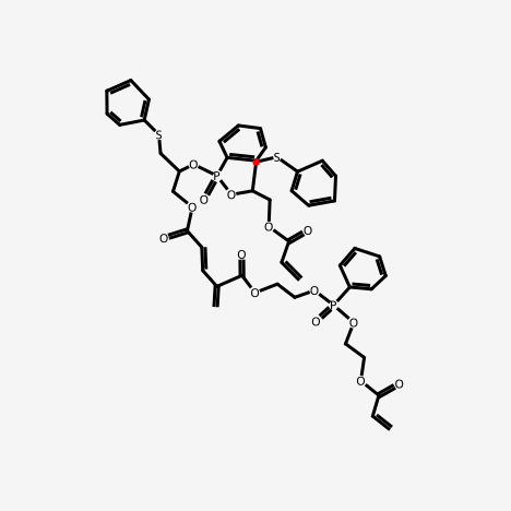 C=CC(=O)OCCOP(=O)(OCCOC(=O)C(=C)/C=C/C(=O)OCC(CSc1ccccc1)OP(=O)(OC(COC(=O)C=C)CSc1ccccc1)c1ccccc1)c1ccccc1